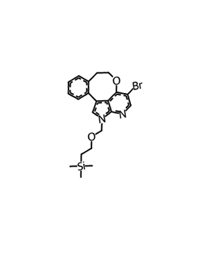 C[Si](C)(C)CCOCn1cc2c3c(c(Br)cnc31)OCCc1ccccc1-2